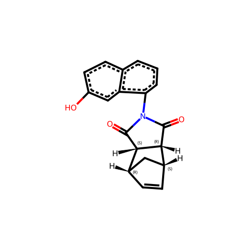 O=C1[C@@H]2[C@H](C(=O)N1c1cccc3ccc(O)cc13)[C@@H]1C=C[C@H]2C1